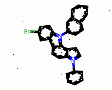 Brc1ccc2c(c1)c1ccc3c(ccn3-c3ccccc3)c1n2-c1ccc2ccccc2c1